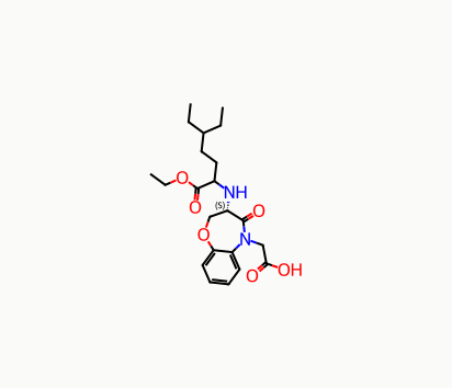 CCOC(=O)C(CCC(CC)CC)N[C@H]1COc2ccccc2N(CC(=O)O)C1=O